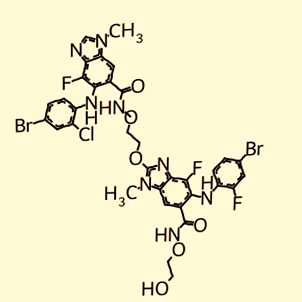 Cn1cnc2c(F)c(Nc3ccc(Br)cc3Cl)c(C(=O)NOCCOc3nc4c(F)c(Nc5ccc(Br)cc5F)c(C(=O)NOCCO)cc4n3C)cc21